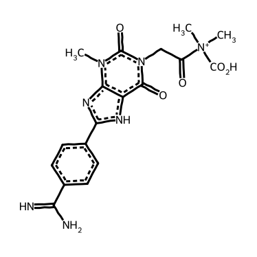 Cn1c(=O)n(CC(=O)[N+](C)(C)C(=O)O)c(=O)c2[nH]c(-c3ccc(C(=N)N)cc3)nc21